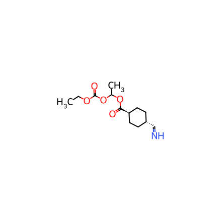 CCOC(=O)OC(C)OC(=O)[C@H]1CC[C@H](C=N)CC1